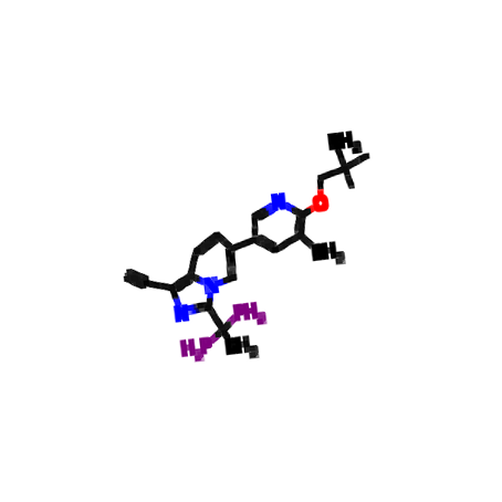 Bc1cc(-c2ccc3c(C#C)nc(C(B)(P)P)n3c2)cnc1OCC(B)(C)C